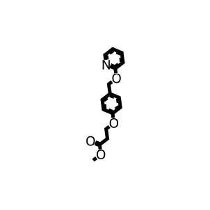 COC(=O)CCOc1ccc(COc2ccccn2)cc1